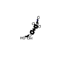 CC(C)(c1ccc(OC[C@H](O)CO)cc1)c1cc(Cl)c(OC/C=C/Cl)c(Cl)c1